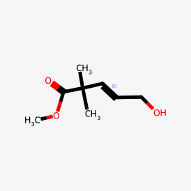 COC(=O)C(C)(C)/C=C/CO